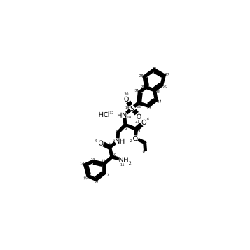 CCOC(=O)C(CNC(=O)C(N)c1ccccc1)NS(=O)(=O)c1ccc2ccccc2c1.Cl